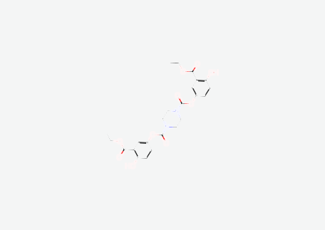 CCOC(=O)c1cc(OC(=O)N2CCN(C(=O)Oc3ccc(O)c(C(=O)OCC)c3)CC2)ccc1O